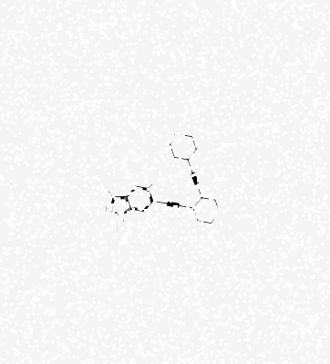 Cc1n[nH]c2cc(C#CC3CCOCC3C#CC3CCOCC3)c(Cl)cc12